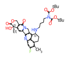 CC[C@@]1(O)C(=O)OCc2c1cc1n(c2=O)Cc2c-1nc1cc(F)c(C)c3c1c2[C@@H](NCCCCN(C(=O)OC(C)(C)C)C(=O)OC(C)(C)C)CC3